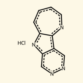 Cl.c1ccc2nc3cnncc3c-2nc1